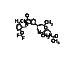 C=C1/N=C\C(c2ccc3c(=O)n(C)n(Cc4ccccc4OC(F)F)c3c2)=C/C(C)OC12CCN(C(C)=O)CC2